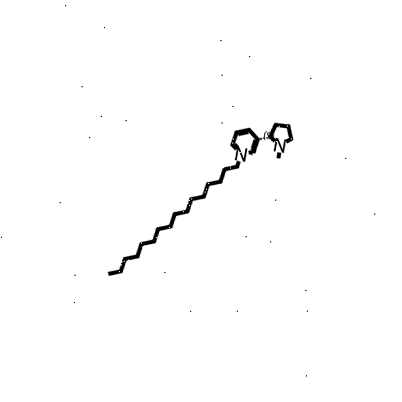 CCCCCCCCCCCCCCCC[n+]1cccc([C@@H]2CCCN2C)c1